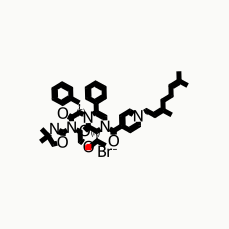 CC(C)=CCCC(C)=CC[n+]1ccc(C(=O)N2C=C(c3ccccc3)N([C@@H](Cc3ccccc3)C(=O)N(CC=O)C3=NC(C)(C)CO3)C(=O)[C@H]2C(C)C)cc1.[Br-]